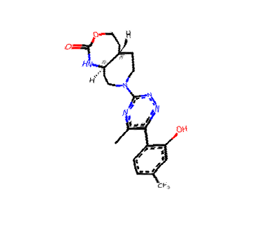 Cc1nc(N2CC[C@H]3COC(=O)N[C@@H]3C2)nnc1-c1ccc(C(F)(F)F)cc1O